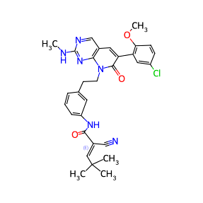 CNc1ncc2cc(-c3cc(Cl)ccc3OC)c(=O)n(CCc3cccc(NC(=O)/C(C#N)=C/C(C)(C)C)c3)c2n1